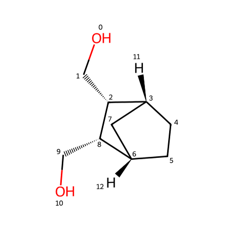 OC[C@@H]1[C@@H]2CC[C@@H](C2)[C@@H]1CO